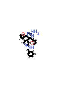 Nc1nc(-c2ccco2)c(-c2ccnc(NCc3ccccc3)c2)c(-c2ccco2)n1